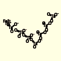 [Fe+3].[O]=[Ta](=[O])[O-].[O]=[Ta](=[O])[O-].[O]=[Ta](=[O])[O-].[O]=[Ta](=[O])[O-].[O]=[Ta](=[O])[O-].[O]=[Ta](=[O])[O-].[O]=[Ta](=[O])[O-].[Ti+4]